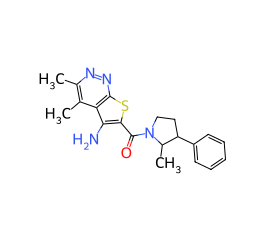 Cc1nnc2sc(C(=O)N3CCC(c4ccccc4)C3C)c(N)c2c1C